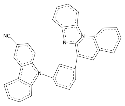 N#Cc1ccc2c(c1)c1ccccc1n2-c1cccc(-c2cc3ccccc3n3c2nc2ccccc23)c1